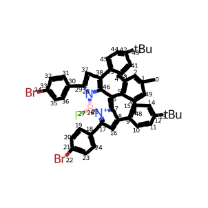 Cc1cc(C)c(C2=C3C(c4ccc(C(C)(C)C)cc4)=CC(c4ccc(Br)cc4)=[N+]3B(F)n3c(-c4ccc(Br)cc4)cc(-c4ccc(C(C)(C)C)cc4)c32)c(C)c1